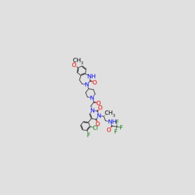 COc1ccc2c(c1)CCN(C1CCN(C(=O)Cn3cc(-c4cccc(F)c4Cl)c(=O)n([C@H](C)CNC(=O)C(F)(F)F)c3=O)CC1)C(=O)N2